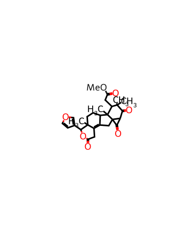 COC(=O)CC1C(C)(C)C(=O)C2C(=O)C23CC2=C4CC(=O)OC(c5ccoc5)C4(C)CCC2C13C